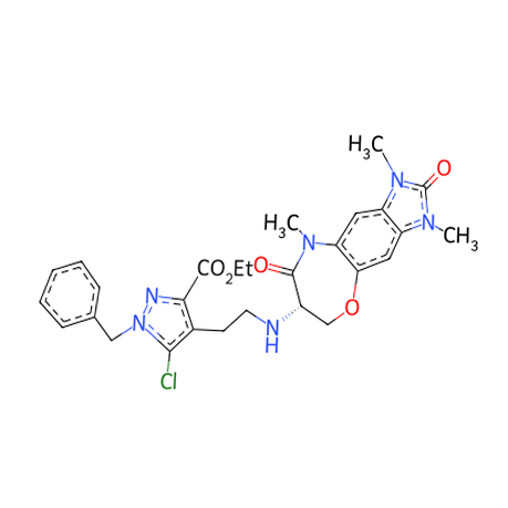 CCOC(=O)c1nn(Cc2ccccc2)c(Cl)c1CCN[C@H]1COc2cc3c(cc2N(C)C1=O)n(C)c(=O)n3C